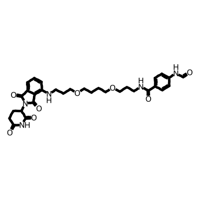 O=CNc1ccc(C(=O)NCCCOCCCCOCCCNc2cccc3c2C(=O)N(C2CCC(=O)NC2=O)C3=O)cc1